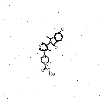 Cc1c(N2CCN(C(=O)OC(C)(C)C)CC2)cncc1N1C(=O)c2ccc(Cl)cc2C1C